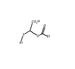 CCSC(OC(=O)CC)C(=O)O